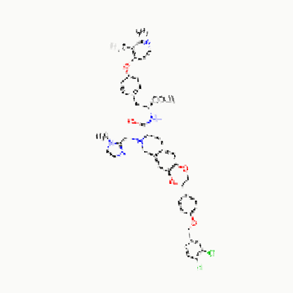 Cc1nccc(Oc2ccc(C[C@H](NC(=O)[C@@H]3Cc4cc5c(cc4CN3Cc3nccn3C)O[C@@H](c3ccc(OCc4ccc(Cl)c(Cl)c4)cc3)CO5)C(=O)O)cc2)c1C